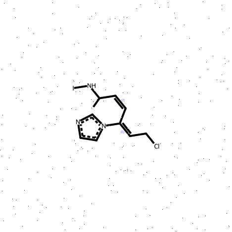 CC(/C=C\C(=C/CCl)n1ccnc1)NI